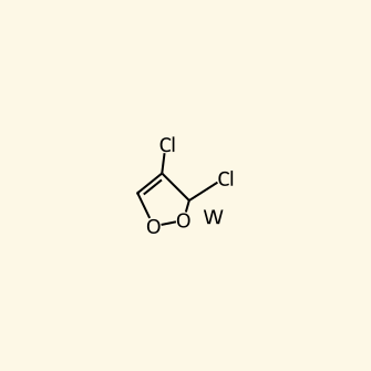 ClC1=COOC1Cl.[W]